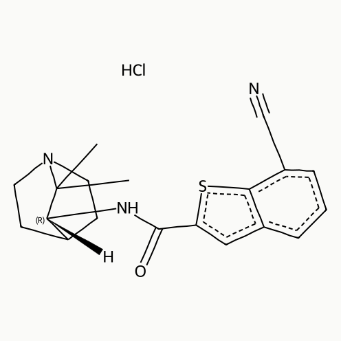 CC1(C)[C@H](NC(=O)c2cc3cccc(C#N)c3s2)C2CCN1CC2.Cl